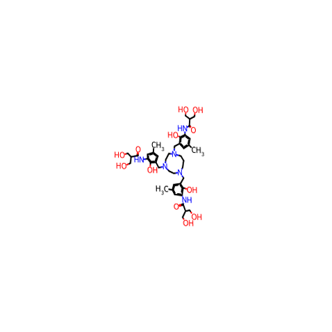 Cc1cc(CN2CCCN(Cc3cc(C)cc(NC(=O)C(CO)CO)c3O)CCN(Cc3cc(C)cc(NC(=O)C(CO)CO)c3O)CC2)c(O)c(NC(=O)C(CO)CO)c1